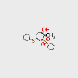 C[C@H]1[C@H](O)CCC(Sc2ccccc2)=C[C@H]1S(=O)(=O)c1ccccc1